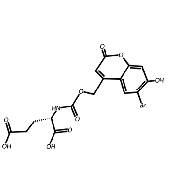 O=C(O)CC[C@H](NC(=O)OCc1cc(=O)oc2cc(O)c(Br)cc12)C(=O)O